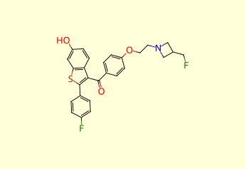 O=C(c1ccc(OCCN2CC(CF)C2)cc1)c1c(-c2ccc(F)cc2)sc2cc(O)ccc12